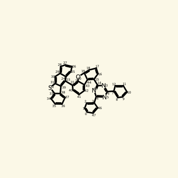 c1ccc(-c2nc(-c3ccccc3)nc(-c3cccc4oc5c(-c6c7ccccc7cc7sc8ccccc8c67)cccc5c34)n2)cc1